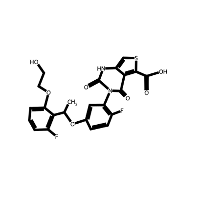 CC(Oc1ccc(F)c(-n2c(=O)[nH]c3csc(C(=O)O)c3c2=O)c1)c1c(F)cccc1OCCO